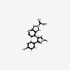 CC(C)C(=O)N1Cc2nccc(-c3cn(C)nc3-c3ccc(F)cc3)c2C1